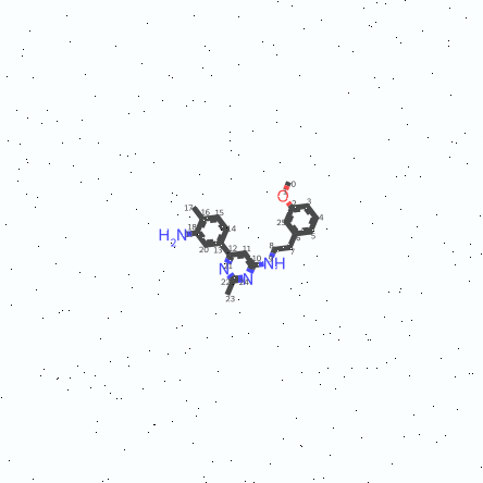 COc1cccc(CCNc2cc(-c3ccc(C)c(N)c3)nc(C)n2)c1